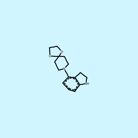 c1cc2c(c(N3CCC4(CC3)OCCO4)c1)CCN2